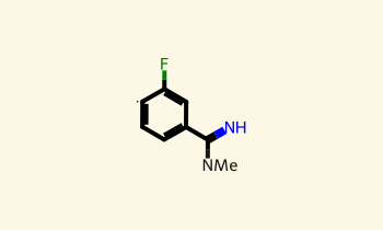 CNC(=N)c1cc[c]c(F)c1